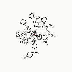 CCN1CCN(C(=O)c2ccc(Oc3cc(C(C)OC(=O)N(C)CCN(C)C(=O)O[C@@H](C(=O)O[C@H]4C[C@@]5(O)[C@@H](OC(=O)c6ccccc6)[C@@H]6[C@]7(OC(C)=O)CO[C@@H]7C[C@H](O)[C@@]6(C)C(=O)[C@H](OC(C)=O)C(=C4C)C5(C)C)[C@@H](NC(=O)c4ccccc4)c4ccccc4)ccc3[N+](=O)[O-])cc2)CC1